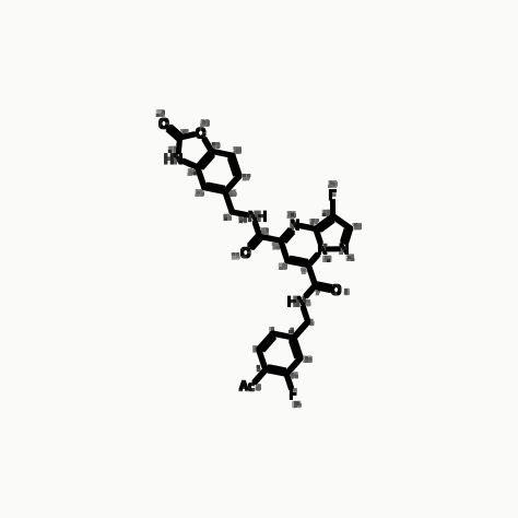 CC(=O)c1ccc(CNC(=O)c2cc(C(=O)NCc3ccc4oc(=O)[nH]c4c3)nc3c(F)cnn23)cc1F